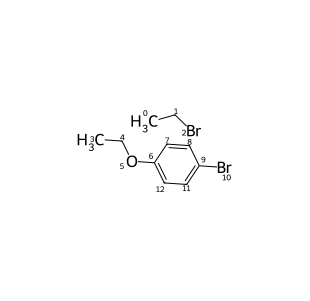 CCBr.CCOc1ccc(Br)cc1